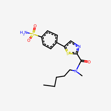 CCCCCN(C)C(=O)c1ncc(-c2ccc(S(N)(=O)=O)cc2)s1